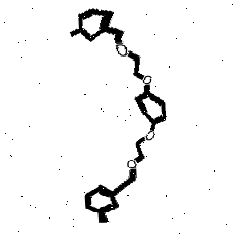 Cc1cccc(COCCOc2ccc(OCCOCc3cccc(C)c3)cc2)c1